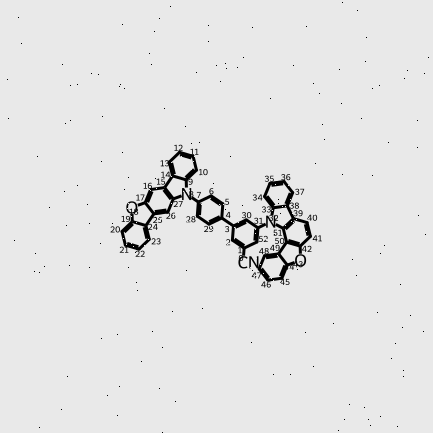 N#Cc1cc(-c2ccc(-n3c4ccccc4c4cc5oc6ccccc6c5cc43)cc2)cc(-n2c3ccccc3c3ccc4oc5ccccc5c4c32)c1